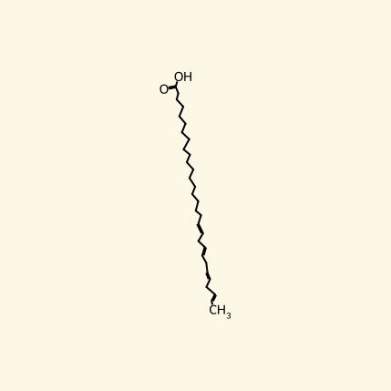 CC=CCC=CCC=CCC=CCCCCCCCCCCCCCCCCCC(=O)O